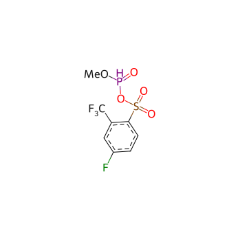 CO[PH](=O)OS(=O)(=O)c1ccc(F)cc1C(F)(F)F